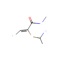 CC(C)/C=C(\SC(C)N)C(=O)NC(C)C